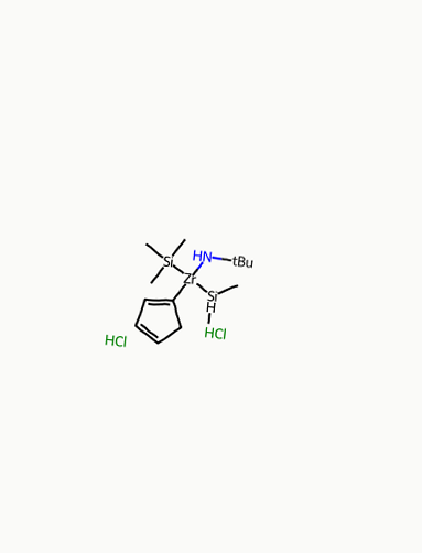 C[SiH](C)[Zr]([NH]C(C)(C)C)([C]1=CC=CC1)[Si](C)(C)C.Cl.Cl